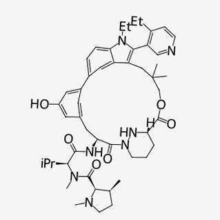 CCc1ccncc1-c1c2c3cc(ccc3n1CC)-c1cc(O)cc(c1)C[C@H](NC(=O)[C@H](C(C)C)N(C)C(=O)[C@H]1[C@@H](C)CCN1C)C(=O)N1CCC[C@H](N1)C(=O)OCC(C)(C)C2